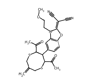 C=C1CSC(C(C)=O)C(c2ccc3c(c2)N(CCOC)C(=C(C#N)C#N)O3)C(C(C)=O)SC1